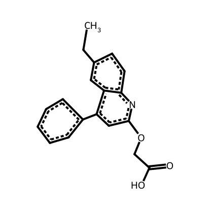 CCc1ccc2nc(OCC(=O)O)cc(-c3ccccc3)c2c1